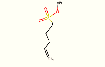 C=CCCCS(=O)(=O)OCCC